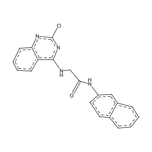 O=C(CNc1nc(Cl)nc2ccccc12)Nc1ccc2ccccc2c1